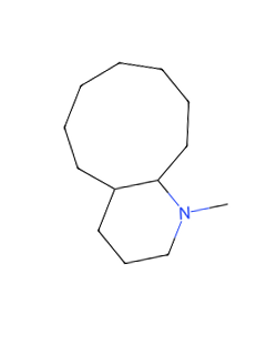 CN1CCCC2CCCCCCCC21